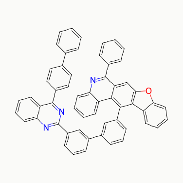 c1ccc(-c2ccc(-c3nc(-c4cccc(-c5cccc(-c6c7c(cc8c(-c9ccccc9)nc9ccccc9c68)oc6ccccc67)c5)c4)nc4ccccc34)cc2)cc1